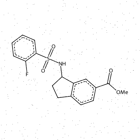 COC(=O)c1ccc2c(c1)C(NS(=O)(=O)c1ccccc1F)CC2